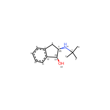 CC(C)(C)N[C@@H]1Cc2ccccc2[C@@H]1O